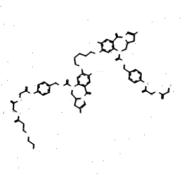 COCCOCCC(=O)N[C@@H](C(=O)N[C@H](C)C(=O)Nc1ccc(COC(=O)N2c3cc(OCCCCCOc4cc5c(cc4OC)C(=O)N4C=C(C)C[C@H]4[C@H](O)N5C(=O)OCc4ccc(NC(=O)[C@@H](C)NC(=O)[C@H](N)C(C)C)cc4)c(OC)cc3C(=O)N3C=C(C)C[C@H]3[C@@H]2O)cc1)C(C)C